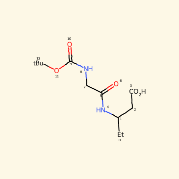 CCC(CC(=O)O)NC(=O)CNC(=O)OC(C)(C)C